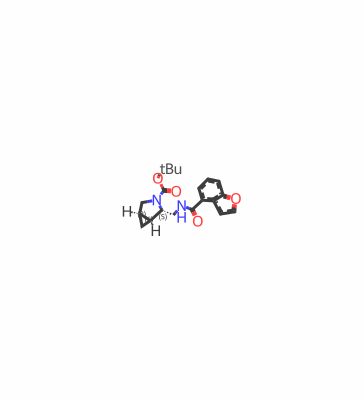 CC(C)(C)OC(=O)N1C[C@@H]2C[C@@H]2[C@H]1CNC(=O)c1cccc2occc12